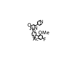 COc1cc(F)ccc1C1CN(c2nc(-c3ccncc3)cc(=O)n2C)CCN1C(C)=O